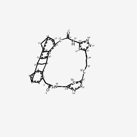 O=C1Cc2cc3ccc2C2c4c5c(cc(c4C32)CC5)CC(=O)Nc2nnc(s2)CCCc2nnc(s2)N1